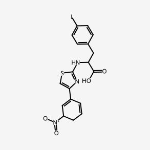 O=C(O)C(Cc1ccc(I)cc1)Nc1nc(C2=CC([N+](=O)[O-])CC=C2)cs1